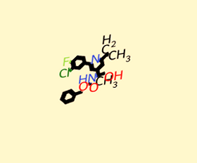 C=C(C)c1cc(C(C)(CO)NC(=O)OCc2ccccc2)cc(-c2ccc(F)c(Cl)c2)n1